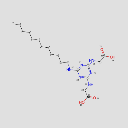 CCCCCCCCCCCCNc1nc(NCC(=O)O)nc(NCC(=O)O)n1